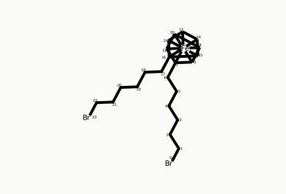 BrCCCCCC[C]12[CH]3[CH]4[CH]5[CH]1[Fe]45321678[CH]2[CH]1[CH]6[C]7(CCCCCCBr)[CH]28